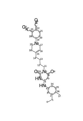 CCc1cc(Nc2cc(=O)n(CCCCC3=CCN(c4ccc(=C=O)c(=C=O)c4)CC3)c(=O)[nH]2)ccc1C